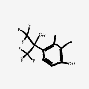 Cc1c(O)ccc(C(O)(C(F)(F)F)C(F)(F)F)c1C